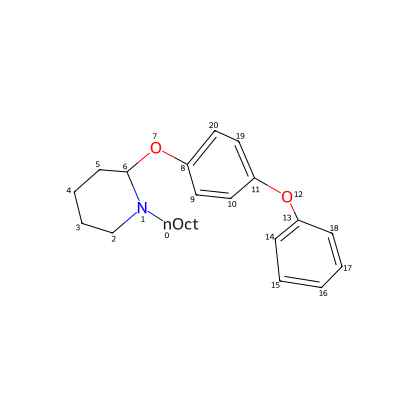 CCCCCCCCN1CCCCC1Oc1ccc(Oc2ccccc2)cc1